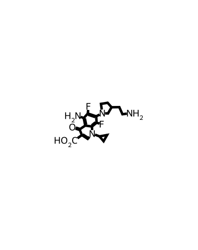 NCCC1CCN(c2c(F)c(N)c3c(=O)c(C(=O)O)cn(C4CC4)c3c2F)C1